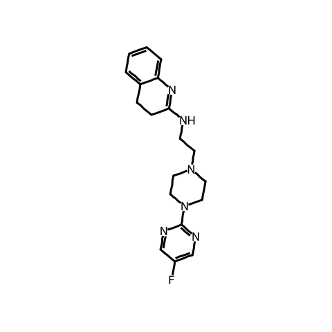 Fc1cnc(N2CCN(CCNC3=Nc4ccccc4CC3)CC2)nc1